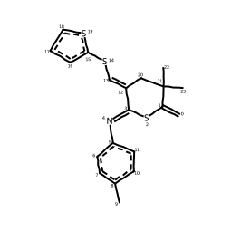 C=C1SC(=N\c2ccc(C)cc2)/C(=C/Sc2cccs2)CC1(C)C